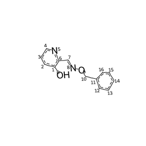 Oc1cccnc1C=NOCc1ccccc1